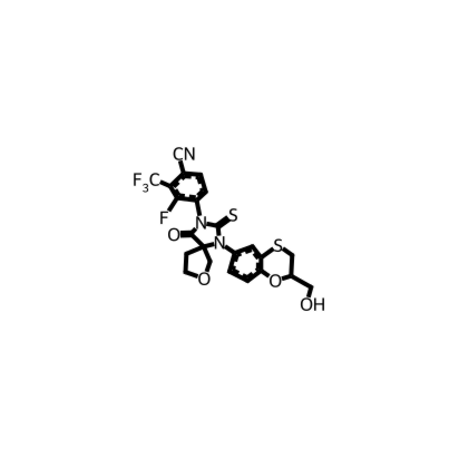 N#Cc1ccc(N2C(=O)C3(CCOC3)N(c3ccc4c(c3)SCC(CO)O4)C2=S)c(F)c1C(F)(F)F